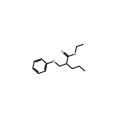 CCCC(COc1ccccc1)C(=O)OCC